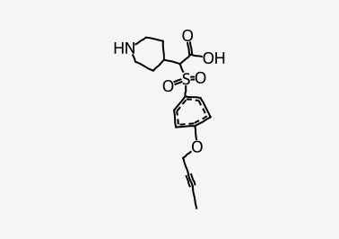 CC#CCOc1ccc(S(=O)(=O)C(C(=O)O)C2CCNCC2)cc1